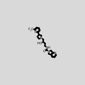 O=C(NCC[C@@H](O)CN1CCC(c2cccc(C(F)(F)F)n2)C1)N1Cc2cccnc2C1